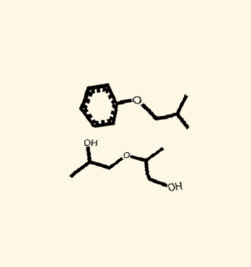 CC(C)COc1ccccc1.CC(O)COC(C)CO